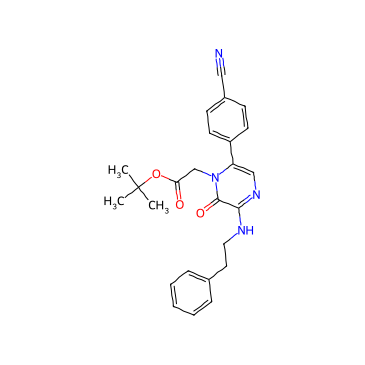 CC(C)(C)OC(=O)Cn1c(-c2ccc(C#N)cc2)cnc(NCCc2ccccc2)c1=O